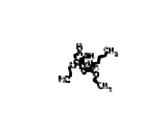 CCCCCC(=O)OCC.O=C(O)CS.O=C(O)CS.OCCO